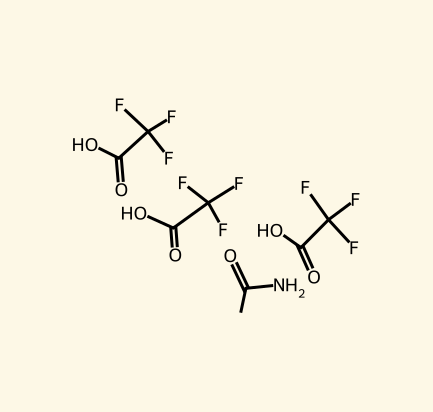 CC(N)=O.O=C(O)C(F)(F)F.O=C(O)C(F)(F)F.O=C(O)C(F)(F)F